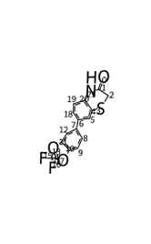 O=C1CSc2cc(-c3ccc4c(c3)OC(F)(F)O4)ccc2N1